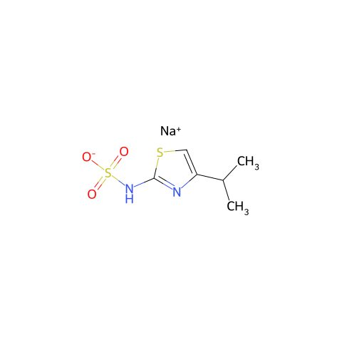 CC(C)c1csc(NS(=O)(=O)[O-])n1.[Na+]